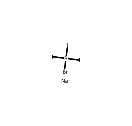 Br[B-](I)(I)I.[Na+]